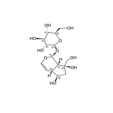 OC[C@H]1O[C@@H](O[C@@H]2OC=C[C@@H]3[C@H]2[C@](O)(CO)C[C@H]3O)[C@H](O)[C@@H](O)[C@@H]1O